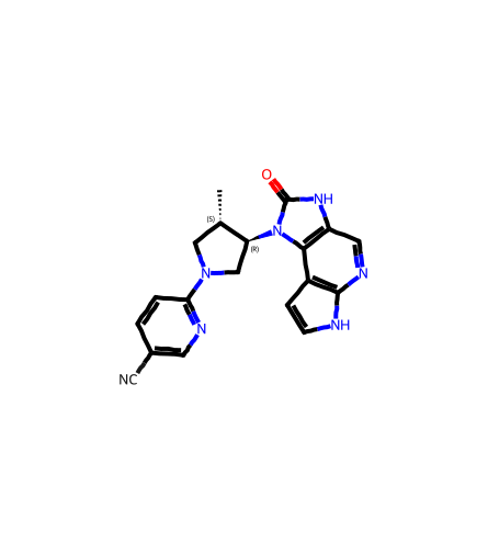 C[C@H]1CN(c2ccc(C#N)cn2)C[C@@H]1n1c(=O)[nH]c2cnc3[nH]ccc3c21